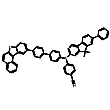 CC1(C)c2cc(-c3ccccc3)ccc2-c2ccc(N(c3ccc(C#N)cc3)c3ccc(-c4ccc(C5=CCC6Oc7ccc8ccccc8c7C6=C5)cc4)cc3)cc21